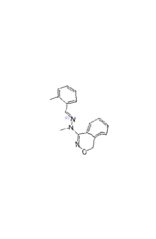 Cc1ccccc1/C=N/N(C)C1=NOCc2ccccc21